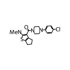 CNc1sc2c(c1C(=O)N1CCN(c3ccc(Cl)cc3)CC1)CCC2